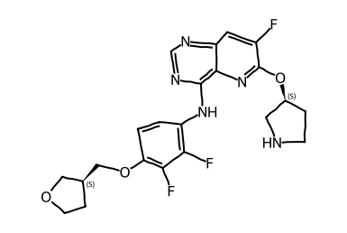 Fc1cc2ncnc(Nc3ccc(OC[C@H]4CCOC4)c(F)c3F)c2nc1O[C@H]1CCNC1